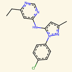 CCc1cc(Nc2cc(C)nn2-c2ccc(Cl)cc2)ncn1